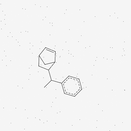 CC(c1ccccc1)C1CC2C=CC1C2